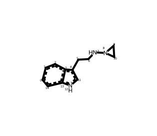 c1ccc2c(CCNN3CC3)c[nH]c2c1